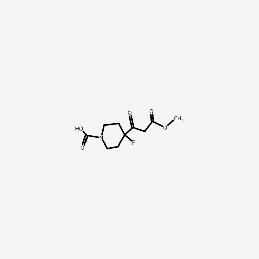 COC(=O)CC(=O)C1(F)CCN(C(=O)O)CC1